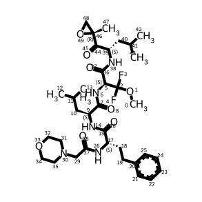 COC(F)(F)[C@@H](NC(=O)[C@H](CC(C)C)NC(=O)[C@H](CCc1ccccc1)NC(=O)CN1CCOCC1)C(=O)N[C@@H](CC(C)C)C(=O)[C@@]1(C)CO1